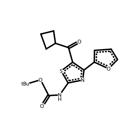 CC(C)(C)OC(=O)Nc1nc(-c2ccco2)c(C(=O)C2CCC2)s1